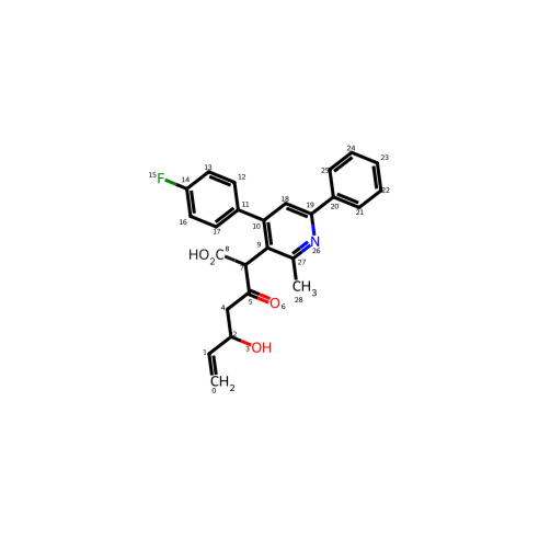 C=CC(O)CC(=O)C(C(=O)O)c1c(-c2ccc(F)cc2)cc(-c2ccccc2)nc1C